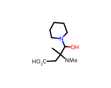 CNC(C)(CC(=O)O)C(O)N1CCCCC1